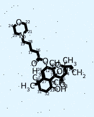 C=C[C@@]1(C)CC(=O)[C@@]2(O)[C@](C)(O1)[C@@H](OC(=O)CCCCN1CCOCC1)C=C1C(C)(C)CC[C@H](O)[C@@]12C